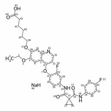 CCOc1cc2c(Oc3ccc(NC(=O)C4(C(=O)Nc5ccc(F)cc5)CC4)cc3F)ccnc2cc1OCCCCCC(=O)O.[NaH]